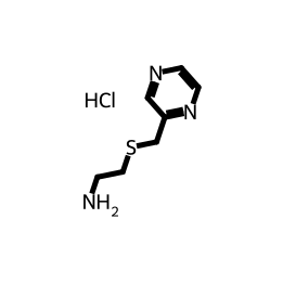 Cl.NCCSCc1cnccn1